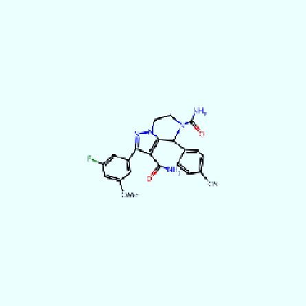 COc1cc(F)cc(-c2nn3c(c2C(N)=O)C(c2ccc(C#N)cc2)N(C(N)=O)CC3)c1